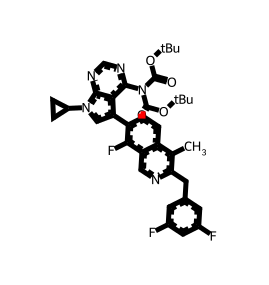 Cc1c(Cc2cc(F)cc(F)c2)ncc2c(F)c(-c3cn(C4CC4)c4ncnc(N(C(=O)OC(C)(C)C)C(=O)OC(C)(C)C)c34)ccc12